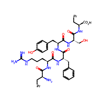 CC(C)C[C@H](NC(=O)[C@H](CO)NC(=O)[C@H](Cc1ccc(O)cc1)NC(=O)[C@H](Cc1ccccc1)NC(=O)[C@H](CCCNC(=N)N)NC(=O)[C@@H](N)CC(C)C)C(=O)O